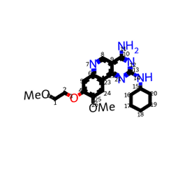 COCCOc1cc2ncc3c(N)nc(NC4CCCCC4)nc3c2cc1OC